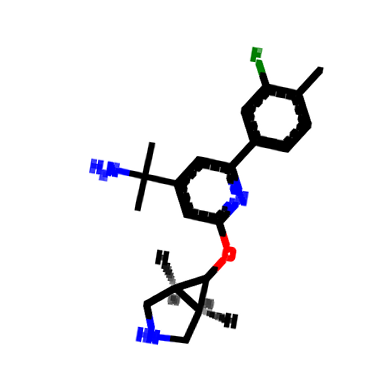 Cc1ccc(-c2cc(C(C)(C)N)cc(OC3[C@H]4CNC[C@@H]34)n2)cc1F